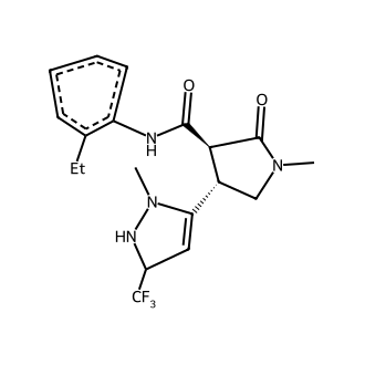 CCc1ccccc1NC(=O)[C@H]1C(=O)N(C)C[C@@H]1C1=CC(C(F)(F)F)NN1C